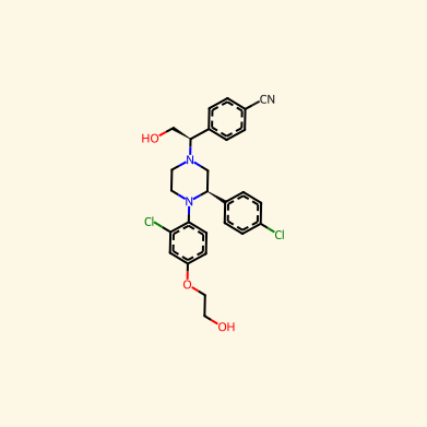 N#Cc1ccc([C@H](CO)N2CCN(c3ccc(OCCO)cc3Cl)[C@H](c3ccc(Cl)cc3)C2)cc1